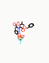 COC(=O)[C@H](Cc1cccc(OS(=O)(=O)C(F)(F)F)c1)N[C@@H](CC(C)C)C(=O)OCc1ccccc1